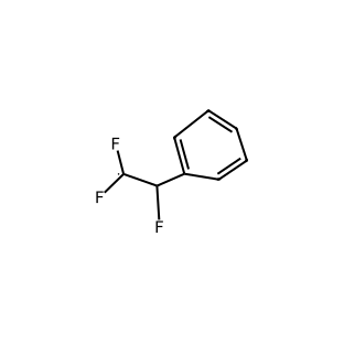 F[C](F)C(F)c1ccccc1